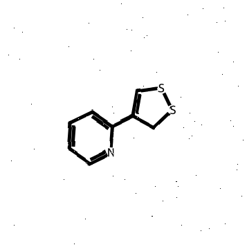 C1=C(c2ccccn2)CSS1